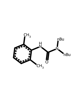 CCCCN(CCCC)C(=O)Nc1c(C)cccc1C